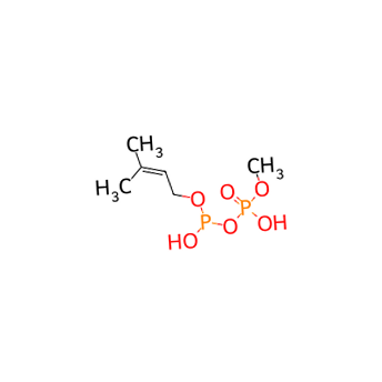 COP(=O)(O)OP(O)OCC=C(C)C